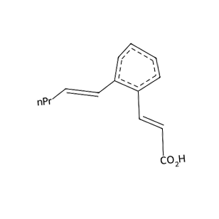 CCCC=Cc1ccccc1C=CC(=O)O